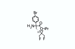 CC(C)OC(=O)C(N)(C[C@@H]1CC1(CF)CF)c1ccc(Br)cc1